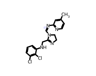 Cc1ccnc(/N=C\N2CCN=C2CNc2cccc(Cl)c2Cl)c1